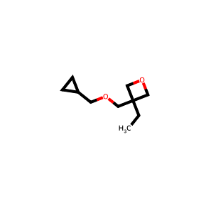 CCC1(COCC2CC2)COC1